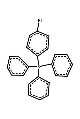 CCc1ccc(S(c2ccccc2)(c2ccccc2)c2ccccc2)cc1